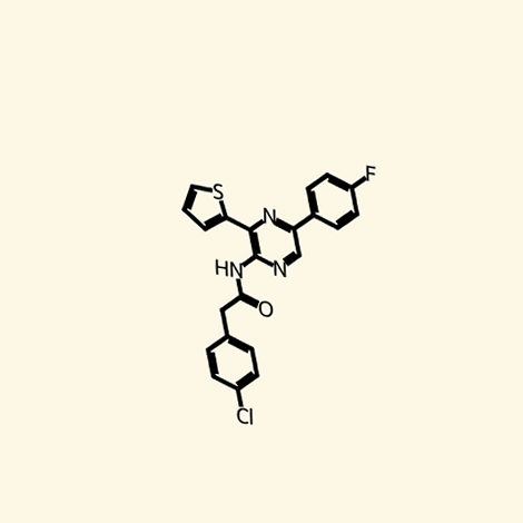 O=C(Cc1ccc(Cl)cc1)Nc1ncc(-c2ccc(F)cc2)nc1-c1cccs1